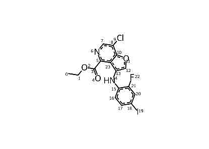 CCOC(=O)c1ncc(Cl)c2occ(Nc3ccc(I)cc3F)c12